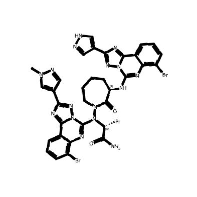 CC(C)[C@H](C(N)=O)N(c1nc2c(Br)cccc2c2nc(-c3cnn(C)c3)nn12)N1CCCC[C@@H](Nc2nc3c(Br)cccc3c3nc(-c4cn[nH]c4)nn23)C1=O